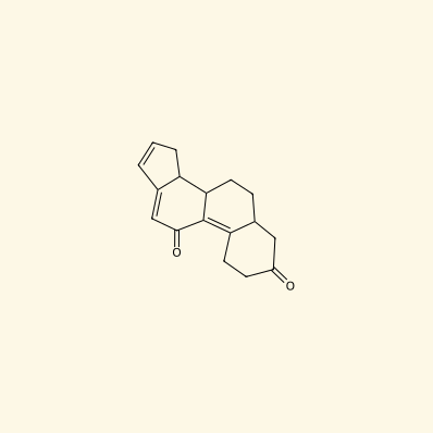 O=C1CCC2=C3C(=O)C=C4C=CCC4C3CCC2C1